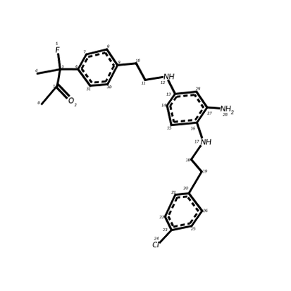 CC(=O)C(C)(F)c1ccc(CCNc2ccc(NCCc3ccc(Cl)cc3)c(N)c2)cc1